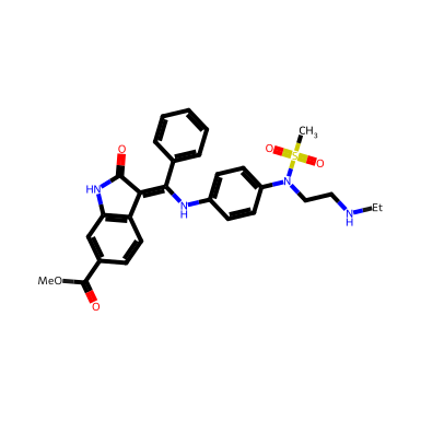 CCNCCN(c1ccc(N/C(=C2/C(=O)Nc3cc(C(=O)OC)ccc32)c2ccccc2)cc1)S(C)(=O)=O